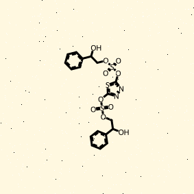 O=S(=O)(OCC(O)c1ccccc1)Oc1nnc(OS(=O)(=O)OCC(O)c2ccccc2)s1